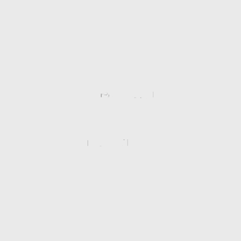 CC(Cl)=CCC(C(=O)O)C(C)(C)C